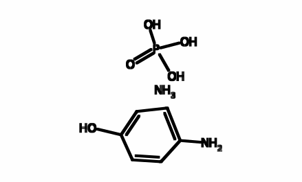 N.Nc1ccc(O)cc1.O=P(O)(O)O